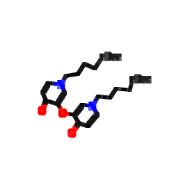 CCCCCCCCCCCCCCn1ccc(=O)c(Oc2cn(CCCCCCCCCCCCCC)ccc2=O)c1